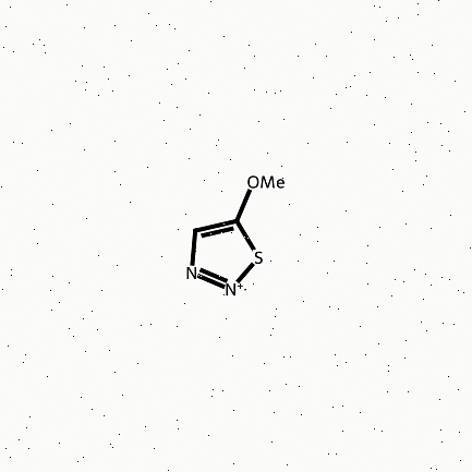 COC1=CN=[N+]S1